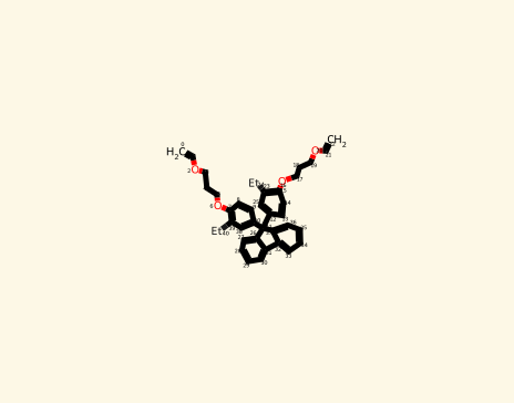 C=COCCCOc1ccc(C2(c3ccc(OCCCOC=C)c(CC)c3)c3ccccc3-c3ccccc32)cc1CC